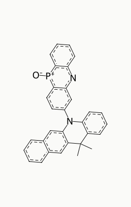 CC1(C)c2ccccc2N(c2ccc3c(c2)nc2ccccc2[p+]3[O-])c2cc3ccccc3cc21